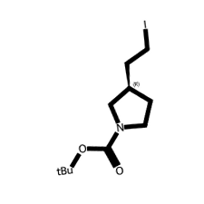 CC(C)(C)OC(=O)N1CC[C@H](CCI)C1